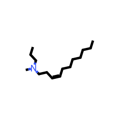 CCCCCCC/C=C\CCN(C)CCC